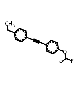 CCc1ccc(C#Cc2ccc(OC(F)F)cc2)cc1